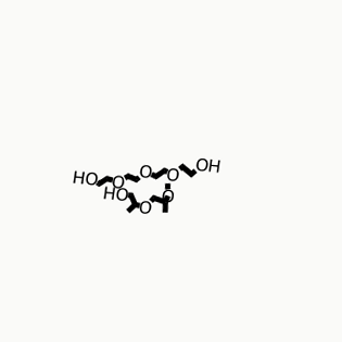 COC(C)COC(C)CO.OCCOCCOCCOCCO